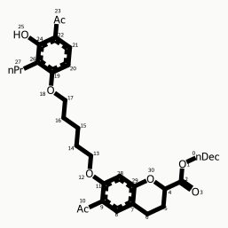 CCCCCCCCCCOC(=O)C1CCc2cc(C(C)=O)c(OCCCCCOc3ccc(C(C)=O)c(O)c3CCC)cc2O1